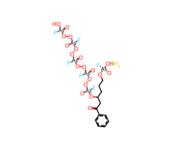 O=C(CC(CCCO[As](=O)(O)F)O[As](=O)(F)OO[As](=O)(F)OO[As](=O)(F)OO[As](=O)(F)OO[As](=O)(O)F)c1ccccc1.S